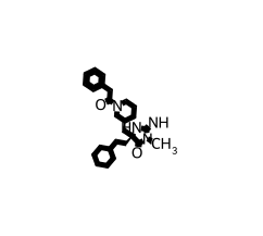 CN1C(=N)N[C@@](CCC2CCCCC2)(C[C@@H]2CCCN(C(=O)Cc3ccccc3)C2)C1=O